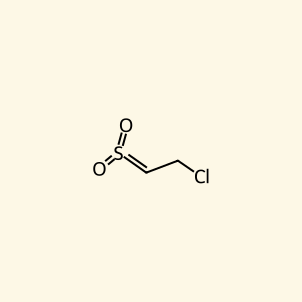 O=S(=O)=CCCl